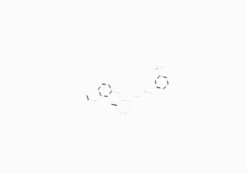 O=C(O)Cc1cccc(CN2C(=O)CCCN2CCC(O)Cc2cccc(C(F)(F)F)c2)c1